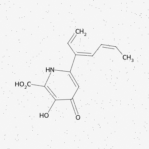 C=C/C(=C\C=C/C)c1cc(=O)c(O)c(C(=O)O)[nH]1